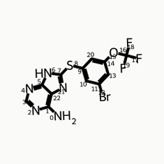 Nc1ncnc2[nH]c(Sc3cc(Br)cc(OC(F)(F)F)c3)nc12